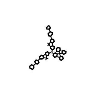 CC1(C)c2cc(-c3ccc(-c4ccccc4)cc3)ccc2-c2ccc(N(c3ccc4c(c3)C(C)(C)c3cc(-c5ccc(-c6ccccc6)cc5)ccc3-4)c3ccc4c(c3)C(c3ccccc3)(c3ccccc3)c3ccccc3-4)cc21